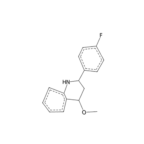 COC1CC(c2ccc(F)cc2)Nc2ccccc21